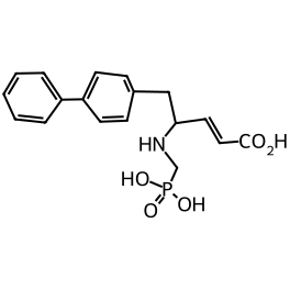 O=C(O)C=CC(Cc1ccc(-c2ccccc2)cc1)NCP(=O)(O)O